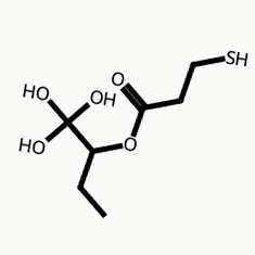 CCC(OC(=O)CCS)C(O)(O)O